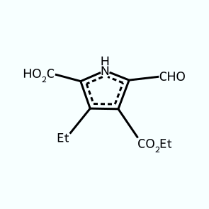 CCOC(=O)c1c(C=O)[nH]c(C(=O)O)c1CC